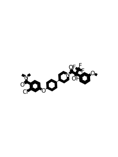 COc1cccc(C(O)(C(=O)N2CCC([C@H]3CC[C@@H](Oc4ccc(C(=O)N(C)C)c(Cl)c4)CC3)CC2)C(F)(F)F)c1